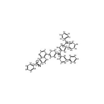 C1=C(c2cccc3c2ccc2nc(-c4ccccc4)oc23)CCC(N(c2cccc(-c3ccccc3)c2)c2ccc3c(c2)c2ccccc2n3-c2ccccc2)=C1